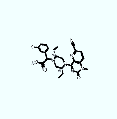 CC[C@H]1CN(C(C(=O)O)c2cccc(F)c2)[C@H](CC)CN1c1nc(=O)n(C)c2ccc(C#N)nc12